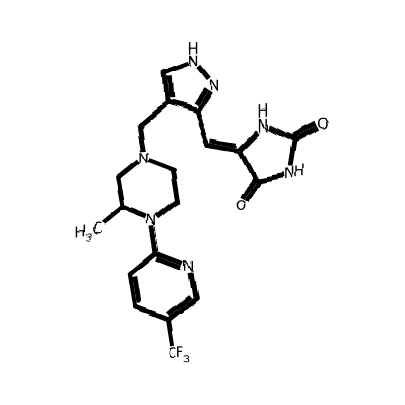 CC1CN(Cc2c[nH]nc2C=C2NC(=O)NC2=O)CCN1c1ccc(C(F)(F)F)cn1